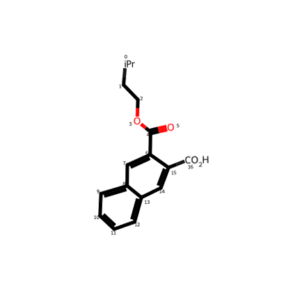 CC(C)CCOC(=O)c1cc2ccccc2cc1C(=O)O